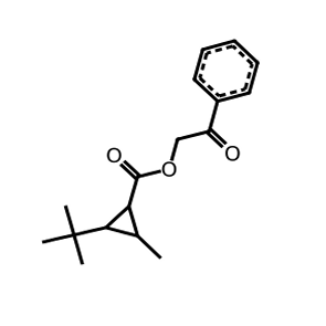 CC1C(C(=O)OCC(=O)c2ccccc2)C1C(C)(C)C